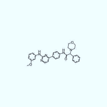 COc1cccc(Nc2nccc(-c3ccc(NC(=O)C(c4ccccc4)N4CCOCC4)cc3)n2)c1